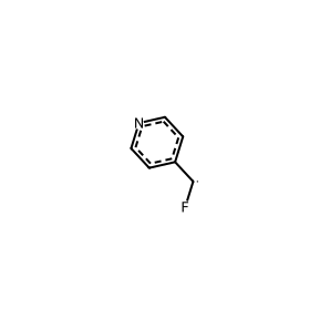 F[CH]c1ccncc1